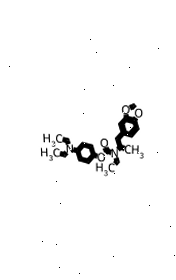 CCN(CC)C1CCC(OC(=O)N(CC)C(C)Cc2ccc3c(c2)OCO3)CC1